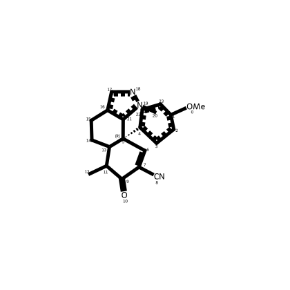 COc1ccc([C@]23C=C(C#N)C(=O)C(C)C2CCc2cnn(C)c23)cc1